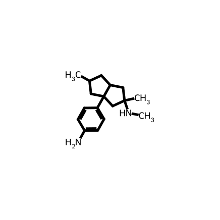 CNC1(C)CC2CC(C)CC2(c2ccc(N)cc2)C1